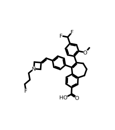 COc1cc(C(F)F)ccc1C1=C(c2ccc(C=C3CN(CCCF)C3)cc2)c2ccc(C(=O)O)cc2CCC1